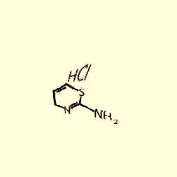 Cl.NC1=NCC=CS1